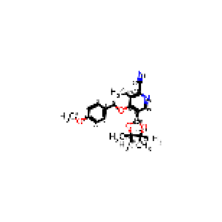 COc1ccc(COc2c(B3OC(C)(C)C(C)(C)O3)cnc(C#N)c2C)cc1